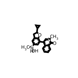 Cn1cc(-c2cc([SiH](C)O)cc3c2OC(C2CC2)C3)c2ccccc2c1=O